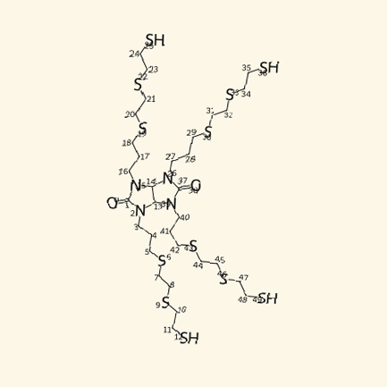 O=C1N(CCCSCCSCCS)C2C(N1CCCSCCSCCS)N(CCCSCCSCCS)C(=O)N2CCCSCCSCCS